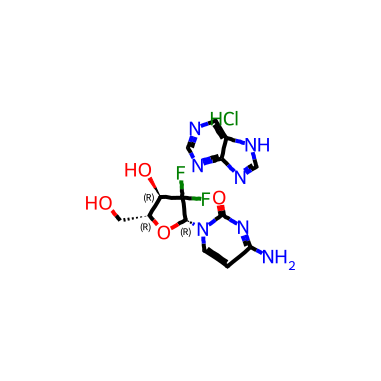 Cl.Nc1ccn([C@@H]2O[C@H](CO)[C@@H](O)C2(F)F)c(=O)n1.c1ncc2[nH]cnc2n1